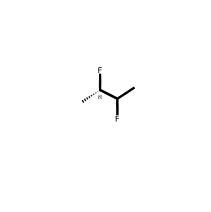 CC(F)[C@H](C)F